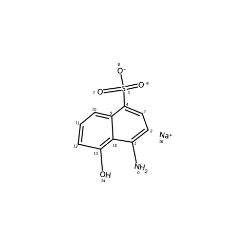 Nc1ccc(S(=O)(=O)[O-])c2cccc(O)c12.[Na+]